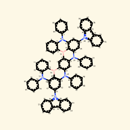 c1ccc(N2c3ccccc3B3c4cc5c(cc4N(c4ccccc4)c4cc(-n6c7ccccc7c7ccccc76)cc2c43)N(c2ccccc2)c2cc(-n3c4ccccc4c4ccccc43)cc3c2B5c2ccccc2N3c2ccccc2)cc1